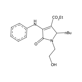 CCCCC1C(C(=O)OCC)=C(Nc2ccccc2)C(=O)N1CCO